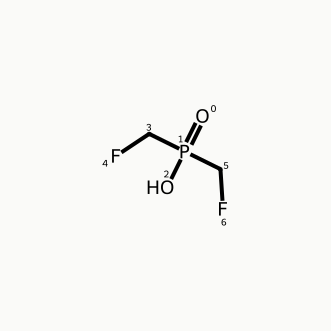 O=P(O)(CF)CF